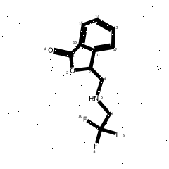 O=C1OC(CNCC(F)(F)F)c2ccccc21